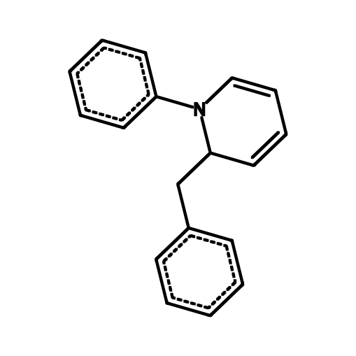 C1=CC(Cc2ccccc2)N(c2ccccc2)C=C1